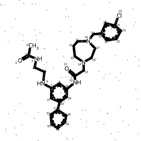 CC(=O)NCCNc1cc(NC(=O)CN2CCCN(Cc3cccc(Cl)c3)CC2)cc(-c2ccccc2)c1